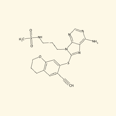 C#Cc1cc2c(cc1Sc1nc3c(N)ncnc3n1CCCNS(C)(=O)=O)OCCC2